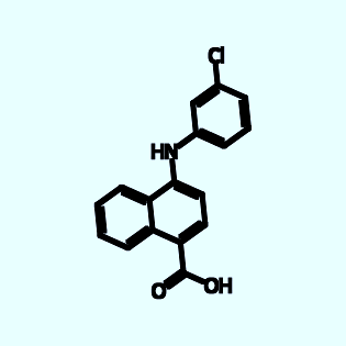 O=C(O)c1ccc(Nc2cccc(Cl)c2)c2ccccc12